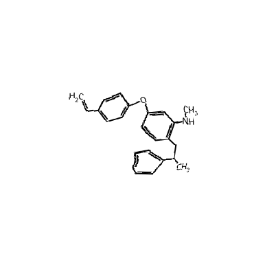 C=Cc1ccc(Oc2ccc(CC(C)c3ccccc3)c(NC)c2)cc1